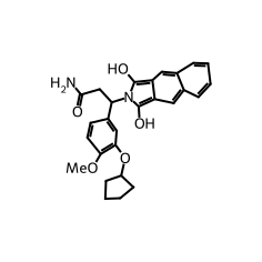 COc1ccc(C(CC(N)=O)n2c(O)c3cc4ccccc4cc3c2O)cc1OC1CCCC1